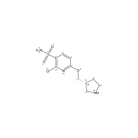 NS(=O)(=O)c1ccc(OC[C@@H]2CCNC2)nc1Cl